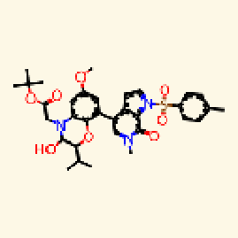 COc1cc(-c2cn(C)c(=O)c3c2ccn3S(=O)(=O)c2ccc(C)cc2)c2c(c1)N(CC(=O)OC(C)(C)C)C(O)C(C(C)C)O2